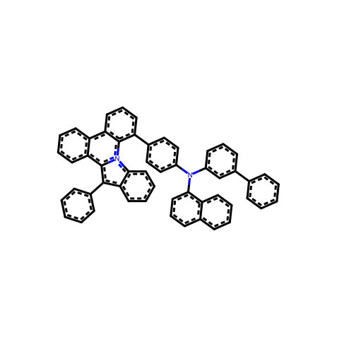 c1ccc(-c2cccc(N(c3ccc(-c4cccc5c6ccccc6c6c(-c7ccccc7)c7ccccc7n6c45)cc3)c3cccc4ccccc34)c2)cc1